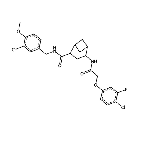 COc1ccc(CNC(=O)C2CC(NC(=O)COc3ccc(Cl)c(F)c3)C3CC2C3)cc1Cl